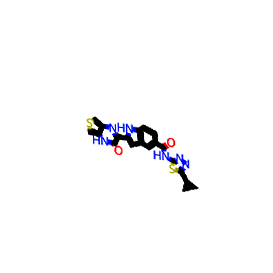 O=C(Nc1nnc(C2CC2)s1)c1ccc2[nH]c(-c3nc4cscc4[nH]c3=O)cc2c1